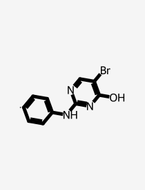 Oc1nc(Nc2cc[c]cc2)ncc1Br